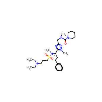 CCN(CC)CCCS(=O)(=O)N(C)[C@H](CCc1ccccc1)c1nc(CN(C)C(=O)N2CCCCC2)nn1C